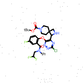 CC(C)N(CC(F)F)C(=O)c1cc(F)ccc1Oc1nnc(Cl)nc1C1NCC12CCN(C(=O)OC(C)(C)C)CC2